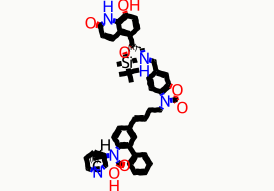 CC(C)(C)[Si](C)(C)O[C@@H](CNCc1ccc2c(c1)oc(=O)n2CCC=Cc1ccc(N(C(=O)O)[C@H]2CN3CCC2CC3)c(-c2ccccc2)c1)c1ccc(O)c2[nH]c(=O)ccc12